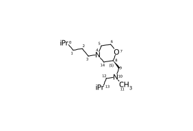 CC(C)CCCN1CCO[C@@H](CN(C)CC(C)C)C1